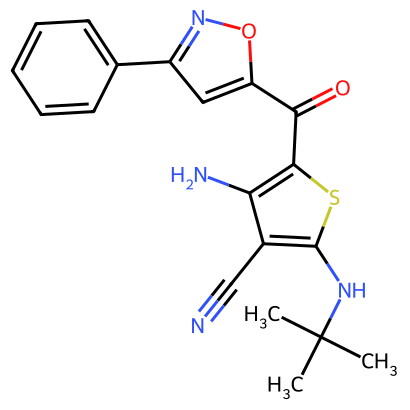 CC(C)(C)Nc1sc(C(=O)c2cc(-c3ccccc3)no2)c(N)c1C#N